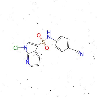 N#Cc1ccc(NS(=O)(=O)c2cn(Cl)c3ncccc23)cc1